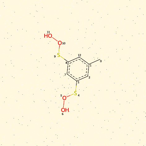 Cc1cc(SOO)cc(SOO)c1